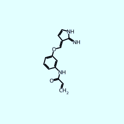 C=CC(=O)Nc1cccc(O/C=C2\C=CNC2=N)c1